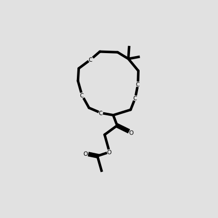 CC(=O)OCC(=O)C1CCCCCCCCC(C)(C)CCCC1